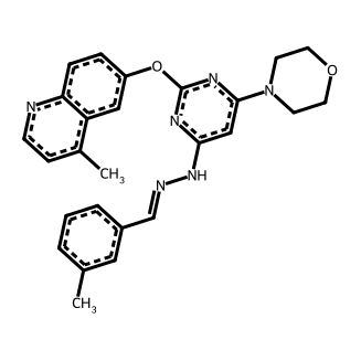 Cc1cccc(C=NNc2cc(N3CCOCC3)nc(Oc3ccc4nccc(C)c4c3)n2)c1